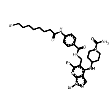 CCc1nc2c(cnn2CC)c(NC2CCN(C(N)=O)CC2)c1CNC(=O)c1ccc(NC(=O)CCCCCCCBr)cc1